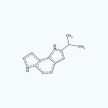 CC(C)c1cc2ccc3[nH]ccc3c2[nH]1